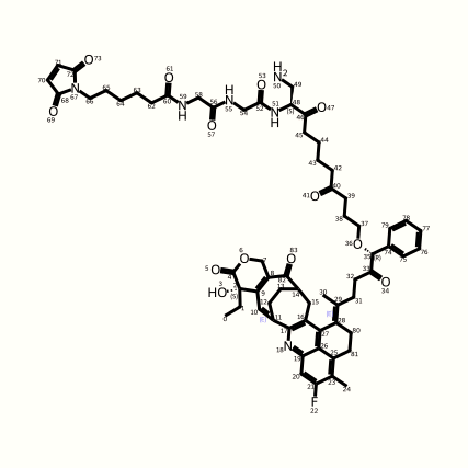 CC[C@@]1(O)C(=O)OCC2=C1/C=C1\CCC(Cc3c1nc1cc(F)c(C)c4c1c3/C(=C(\C)CCC(=O)[C@H](OCCCC(=O)CCCCC(=O)[C@H](CN)NC(=O)CNC(=O)CNC(=O)CCCCCN1C(=O)C=CC1=O)c1ccccc1)CC4)C2=O